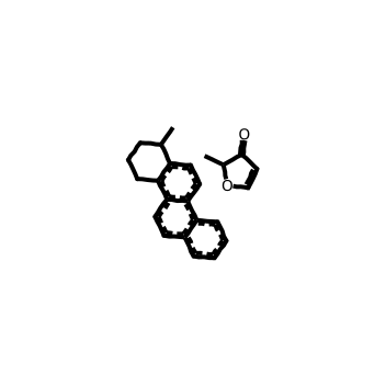 CC1CCCc2c1ccc1c2ccc2ccccc21.CC1OC=CC1=O